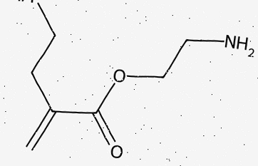 C=C(CCC(C)C)C(=O)OCCN